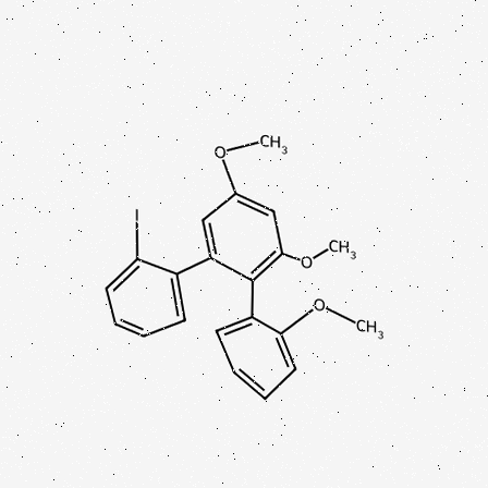 COc1cc(OC)c(-c2ccccc2OC)c(-c2ccccc2I)c1